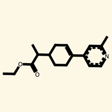 CCOC(=O)C(C)C1CC=C(c2ccnc(C)c2)CC1